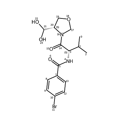 CC(C)[C@H](NC(=O)c1ccc(Br)cc1)C(=O)N1COC[C@H]1C(O)O